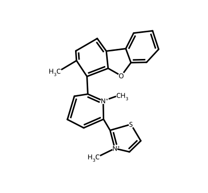 Cc1ccc2c(oc3ccccc32)c1-c1cccc(-c2scc[n+]2C)[n+]1C